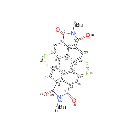 CCCCN1C(=O)c2cc(F)c3c4c(F)cc5c6c(cc(F)c(c7c(F)cc(c2c37)C1=O)c64)C(=O)N(CCCC)C5=O